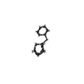 [CH](c1ccccc1)n1cccc1